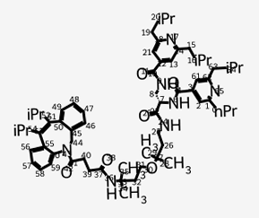 CCCc1cc(C(=O)N[C@@H](CNC(=O)c2cc(CC(C)C)nc(CC(C)C)c2)C(=O)NCCC(C)(C)OCCC(C)(C)NC(=O)CCC(=O)N2Cc3ccccc3/C(C(C)C)=C(/C(C)C)c3ccccc32)cc(CC(C)C)n1